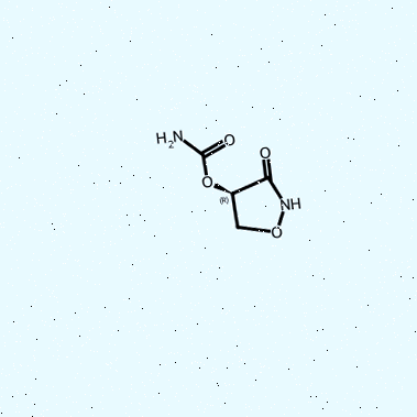 NC(=O)O[C@@H]1CONC1=O